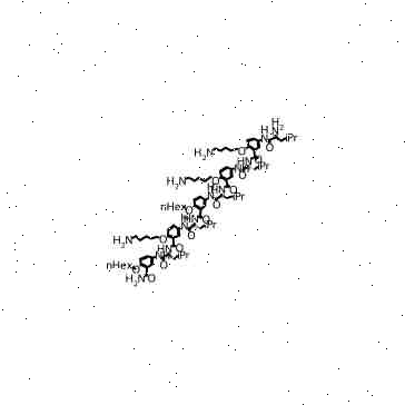 CCCCCCOc1ccc(NC(=O)[C@H](CC(C)C)NC(=O)c2cc(NC(=O)[C@@H](CC(C)C)NC(=O)c3cc(NC(=O)[C@H](CC(C)C)NC(=O)c4cc(NC(=O)[C@@H](CC(C)C)NC(=O)c5cc(NC(=O)[C@@H](N)CC(C)C)ccc5OCCCCCN)ccc4OCCCCCN)ccc3OCCCCCC)ccc2OCCCCCN)cc1C(N)=O